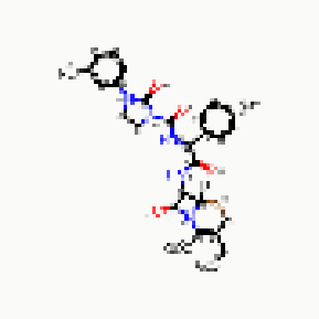 CC(=O)OCC1=C(C(=O)[O-])N2C(=O)C(NC(=O)C(NC(=O)N3CCN(c4cccc(C#N)c4)C3=O)c3ccccc3)[C@@H]2SC1.[Na+]